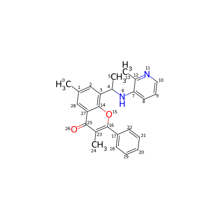 Cc1cc(C(C)Nc2cccnc2C)c2oc(-c3ccccc3)c(C)c(=O)c2c1